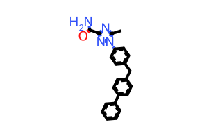 Cc1nc(C(N)=O)nn1-c1ccc(Cc2ccc(-c3ccccc3)cc2)cc1